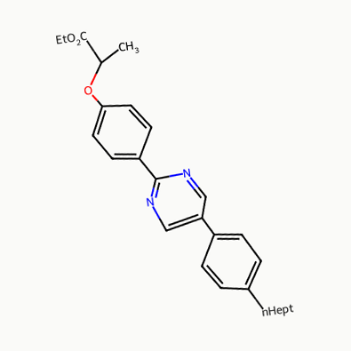 CCCCCCCc1ccc(-c2cnc(-c3ccc(OC(C)C(=O)OCC)cc3)nc2)cc1